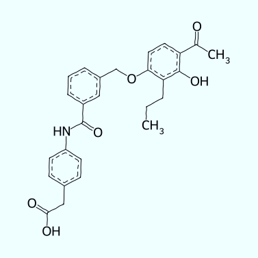 CCCc1c(OCc2cccc(C(=O)Nc3ccc(CC(=O)O)cc3)c2)ccc(C(C)=O)c1O